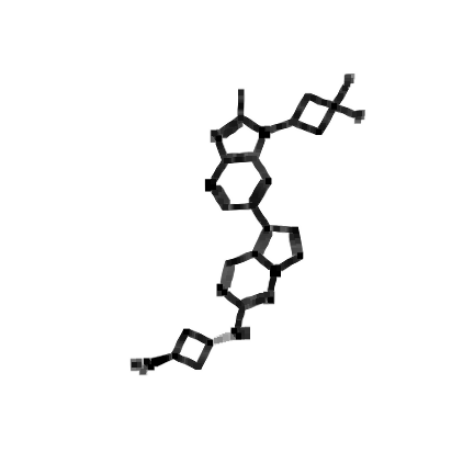 Cc1nc2ncc(-c3ccn4nc(N[C@H]5C[C@H](N)C5)ncc34)cc2n1C1CC(F)(F)C1